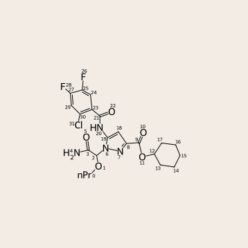 CCCOC(C(N)=O)n1nc(C(=O)OC2CCCCC2)cc1NC(=O)c1cc(F)c(F)cc1Cl